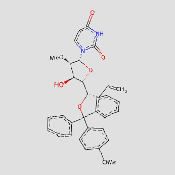 C=CC[C@H](OC(c1ccccc1)(c1ccccc1)c1ccc(OC)cc1)[C@H]1O[C@@H](n2ccc(=O)[nH]c2=O)[C@H](OC)[C@@H]1O